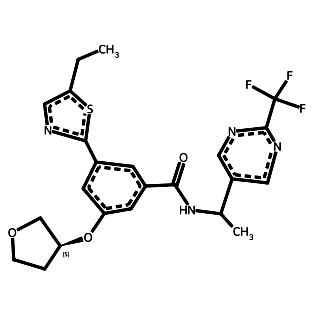 CCc1cnc(-c2cc(O[C@H]3CCOC3)cc(C(=O)NC(C)c3cnc(C(F)(F)F)nc3)c2)s1